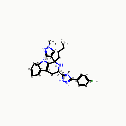 CCCCC1(c2cnn(C)c2)N[C@@H](c2nc(-c3ccc(F)cc3)n[nH]2)Cc2c1[nH]c1ccccc21